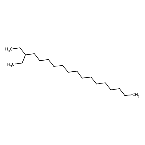 CCCCCCCCCCCCCCCC(CC)CC